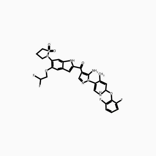 CC1=CC(Oc2c(F)cccc2F)NC=C1n1ncc(C(=O)c2cc3cc(OCC(F)F)c(N4CCCS4(=O)=O)cc3[nH]2)c1N